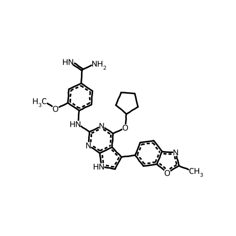 COc1cc(C(=N)N)ccc1Nc1nc(OC2CCCC2)c2c(-c3ccc4nc(C)oc4c3)c[nH]c2n1